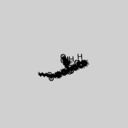 CCCCCCOC(=O)CCN1CCC(C2CCN(C(=O)[C@@H](Cc3cc(C)c4[nH]c(=O)oc4c3)OC(=O)N3CCC(N4CCc5ccccc5NC4=O)CC3)CC2)CC1